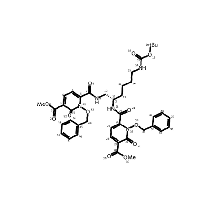 COC(=O)c1ccc(C(=O)NC[C@H](CCCCNC(=O)OC(C)(C)C)NC(=O)c2ccc(C(=O)OC)c(=O)n2OCc2ccccc2)n(OCc2ccccc2)c1=O